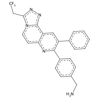 NCc1ccc(-c2nc3ccn4c(CC(F)(F)F)nnc4c3cc2-c2ccccc2)cc1